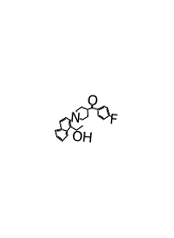 CC(O)c1c(N2CCC(C(=O)c3ccc(F)cc3)CC2)ccc2ccccc12